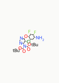 CC(C)(C)OC(=O)N(C(=O)OC(C)(C)C)c1ncnc(Oc2ccc(N)c(F)c2F)c1Cl